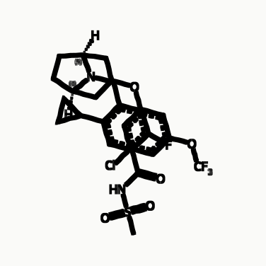 CS(=O)(=O)NC(=O)c1cc(C2CC2)c(CN2[C@@H]3CC[C@H]2CC(Oc2cc(Cl)cc(OC(F)(F)F)c2)C3)cc1F